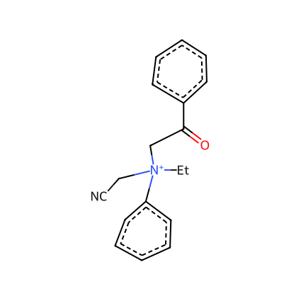 CC[N+](CC#N)(CC(=O)c1ccccc1)c1ccccc1